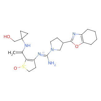 C=C(NC1(CO)CC1)C1=C(/N=C(\N)N2CCC(c3nc4c(o3)CCCC4)C2)CC[S+]1[O-]